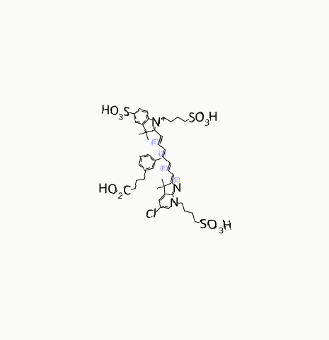 CC1(C)C2=CC(Cl)=CN(CCCCS(=O)(=O)O)C2=N/C1=C/C=C/C(=C/C=C/C1=[N+](CCCCS(=O)(=O)O)c2ccc(S(=O)(=O)O)cc2C1(C)C)c1cccc(CCCC(=O)O)c1